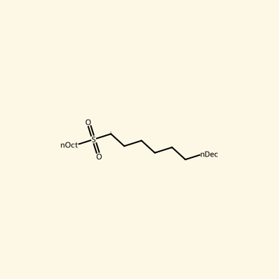 CCCCCCCCCCCCCCC[CH]S(=O)(=O)CCCCCCCC